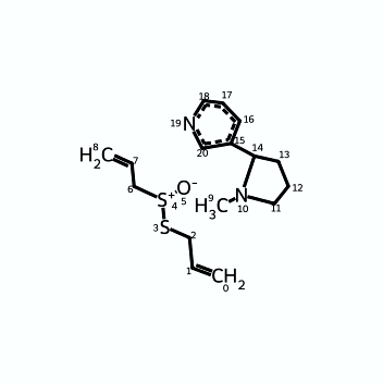 C=CCS[S+]([O-])CC=C.CN1CCCC1c1cccnc1